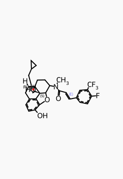 CN(C(=O)/C=C/c1ccc(F)c(C(F)(F)F)c1)C1CC[C@@]2(O)[C@H]3Cc4ccc(O)c5c4[C@@]2(CCN3CC2CC2)C1O5